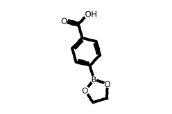 O=C(O)c1ccc(B2OCCO2)cc1